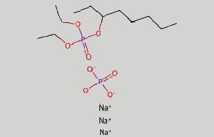 CCCCCC(CC)OP(=O)(OCC)OCC.O=P([O-])([O-])[O-].[Na+].[Na+].[Na+]